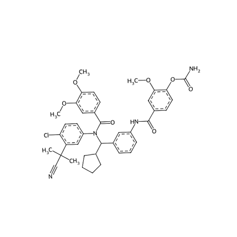 COc1ccc(C(=O)N(c2ccc(Cl)c(C(C)(C)C#N)c2)C(c2cccc(NC(=O)c3ccc(OC(N)=O)c(OC)c3)c2)C2CCCC2)cc1OC